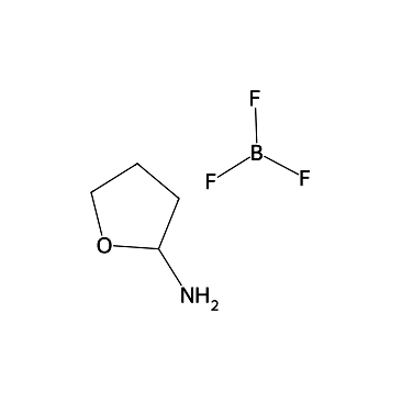 FB(F)F.NC1CCCO1